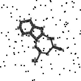 CC1=Nn2c(nc3ccccc32)NC(=O)C1